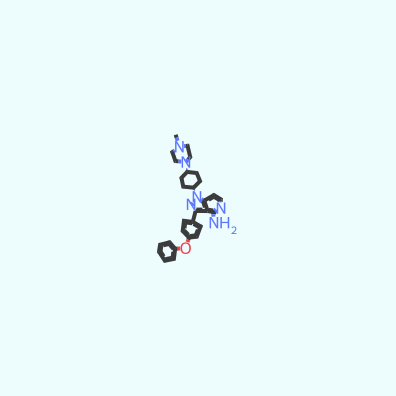 CN1CCN([C@H]2CC[C@@H](n3nc(-c4ccc(Oc5ccccc5)cc4)c4c(N)nccc43)CC2)CC1